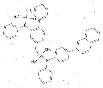 CC(C)(C)N(c1ccccc1)c1cc(CC(C)(C)N(c2ccccc2)c2ccc(-c3ccc4ccccc4c3)cc2)ccc1-c1ccccc1